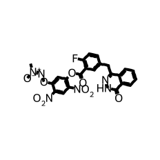 C/[N+]([O-])=N/Oc1cc(OC(=O)c2cc(Cc3n[nH]c(=O)c4ccccc34)ccc2F)c([N+](=O)[O-])cc1[N+](=O)[O-]